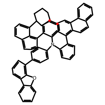 c1ccc(N(c2ccc(-c3cccc4c3oc3ccccc34)cc2)c2ccccc2-c2cccc3cccc(C4CCCCC4)c23)c(-c2cccc3c2ccc2ccccc23)c1